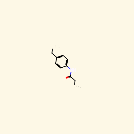 CNCC(=O)Nc1ccc(COC)cc1